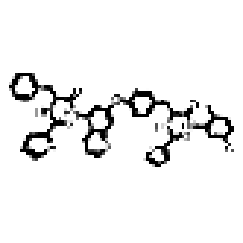 Cc1ccc(Cl)cc1NC(=O)C(Cc1ccc(Oc2cc(NC(=O)C(Cc3ccccc3)NC(=O)c3cccs3)c3cccnc3c2)cc1)NC(=O)c1cccs1